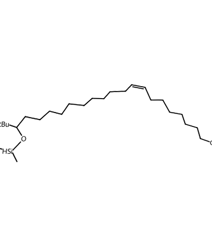 C[SiH](C)OC(CCCCCCCCCC/C=C\CCCCCCCO)C(C)(C)C